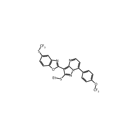 CCSc1nn2c(-c3ccc(OC(F)(F)F)cc3)ccnc2c1-c1nc2cc(SC(F)(F)F)ccc2o1